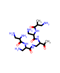 CC(=O)C(CNC(=O)C(CN)NC(=O)C(N)CN)NC(=O)C(CN)NC(=O)C(C)CN